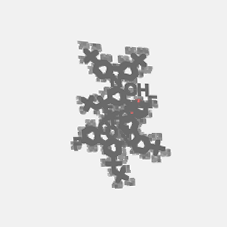 CC(C)(C)CC(C)(C)c1cc(-c2cc(F)ccc2OCC(F)(F)COc2ccc(F)cc2-c2cc(C(C)(C)CC(C)(C)C)cc(-n3c4ccc(C(C)(C)C)cc4c4cc(C(C)(C)C)ccc43)c2O)c(O)c(-n2c3ccc(C(C)(C)C)cc3c3cc(C(C)(C)C)ccc32)c1